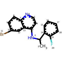 CC(Nc1ccnc2ccc(Br)cc12)c1ccccc1F